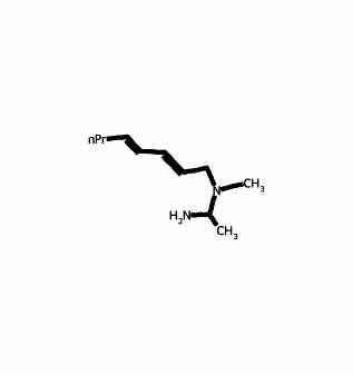 CCCC=CC=CCN(C)C(C)N